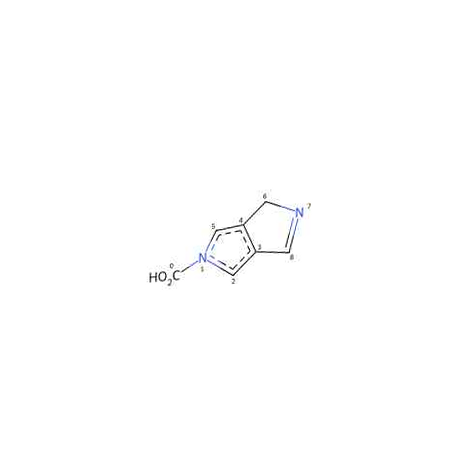 O=C(O)n1cc2c(c1)CN=C2